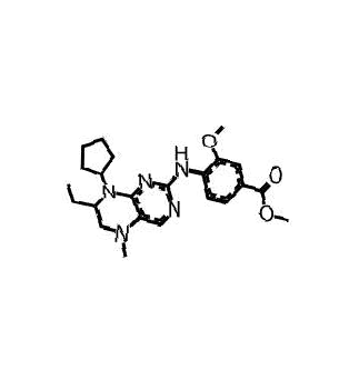 CCC1CN(C)c2cnc(Nc3ccc(C(=O)OC)cc3OC)nc2N1C1CCCC1